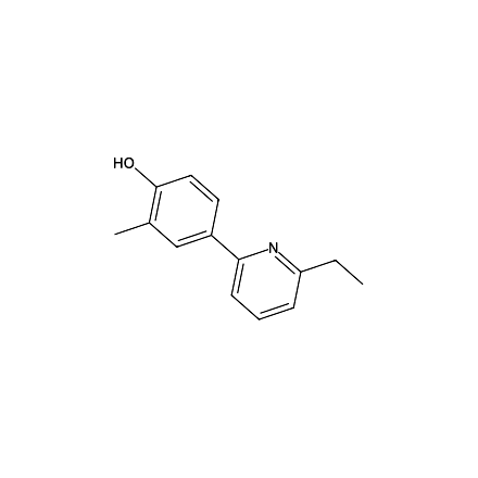 CCc1cccc(-c2ccc(O)c(C)c2)n1